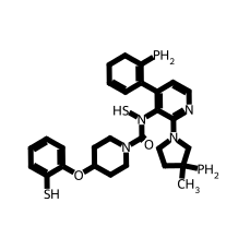 CC1(P)CCN(c2nccc(C3=C(P)CCC=C3)c2N(S)C(=O)N2CCC(Oc3ccccc3S)CC2)C1